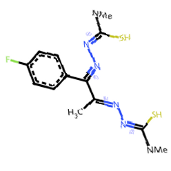 CN/C(S)=N/N=C(C)/C(=N/N=C(\S)NC)c1ccc(F)cc1